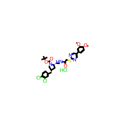 COc1ccc(-c2cnc(SCC(=O)NCC[C@@H]3C[C@@H](Cc4ccc(Cl)c(Cl)c4)CN3C(=O)OC(C)(C)C)nc2)cc1OC.Cl